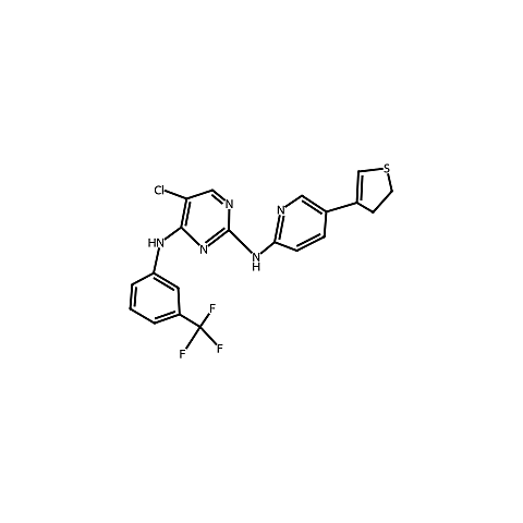 FC(F)(F)c1cccc(Nc2nc(Nc3ccc(C4=CSCC4)cn3)ncc2Cl)c1